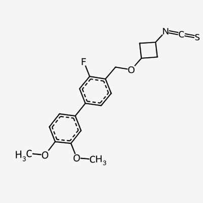 COc1ccc(-c2ccc(COC3CC(N=C=S)C3)c(F)c2)cc1OC